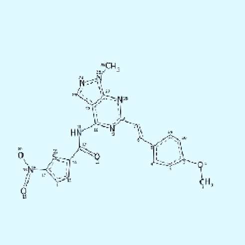 COc1ccc(/C=C/c2nc(NC(=O)c3ccc([N+](=O)[O-])s3)c3cnn(C)c3n2)cc1